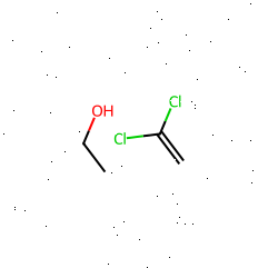 C=C(Cl)Cl.CCO